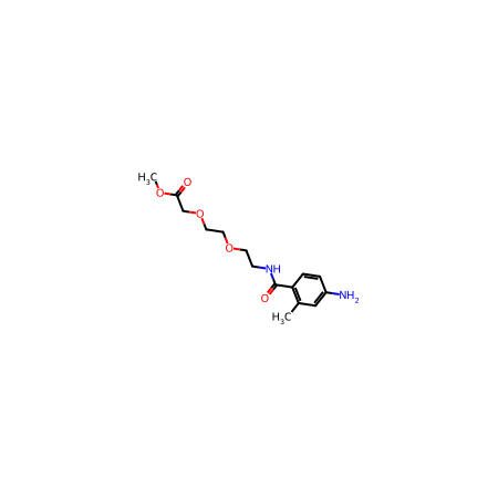 COC(=O)COCCOCCNC(=O)c1ccc(N)cc1C